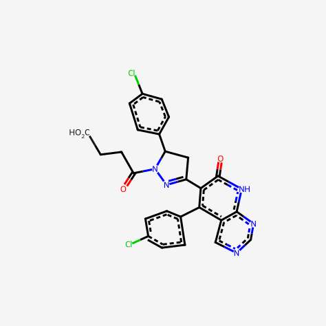 O=C(O)CCC(=O)N1N=C(c2c(-c3ccc(Cl)cc3)c3cncnc3[nH]c2=O)CC1c1ccc(Cl)cc1